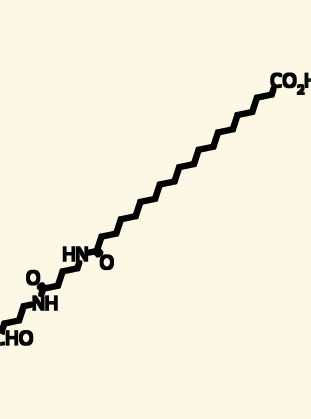 O=CCCCNC(=O)CCCNC(=O)CCCCCCCCCCCCCCCCCCC(=O)O